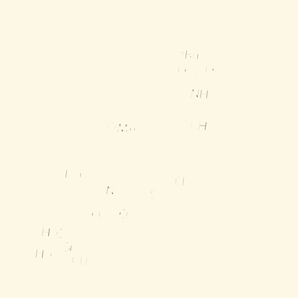 COc1cc(C)c2c(c1-c1ccc(C(C)CNC(=O)OC(C)(C)C)cc1)c1cc(Cl)sc1c(=O)n2COCC[Si](C)(C)C